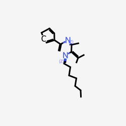 C=C(/N=C(/C)C(/N=C\CCCCCC)=C(C)C)C1=CCCC=C1